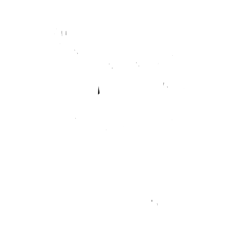 N#CC[C@H]1CN(C(=O)O)CCN1c1nc(=O)n2c3c(c(-c4ccc(F)cc4F)c(Cl)cc13)SCC2